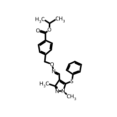 Cc1nn(C)c(Sc2ccccc2)c1C=NOCc1ccc(C(=O)OC(C)C)cc1